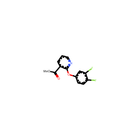 COC(=O)c1cccnc1Oc1ccc(F)c(F)c1